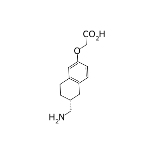 NC[C@@H]1CCc2cc(OCC(=O)O)ccc2C1